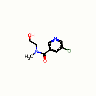 CN(CCO)C(=O)c1cncc(Cl)c1